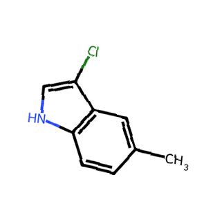 Cc1ccc2[nH]cc(Cl)c2c1